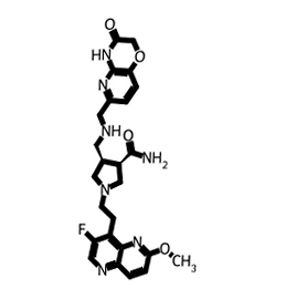 COc1ccc2ncc(F)c(CCN3C[C@@H](CNCc4ccc5c(n4)NC(=O)CO5)[C@@H](C(N)=O)C3)c2n1